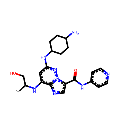 CC(C)C(CO)Nc1cc(NC2CCC(N)CC2)nn2c(C(=O)Nc3ccncc3)cnc12